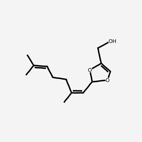 CC(C)=CCCC(C)=CC1OC=C(CO)O1